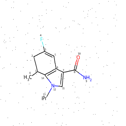 CC1CC(F)=Cc2c(C(N)=O)cn(C(C)C)c21